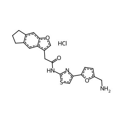 Cl.NCc1ccc(-c2csc(NC(=O)Cc3coc4cc5c(cc34)CCC5)n2)o1